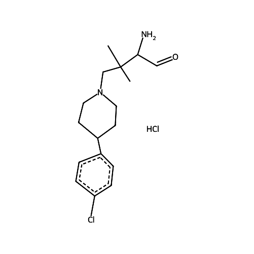 CC(C)(CN1CCC(c2ccc(Cl)cc2)CC1)C(N)C=O.Cl